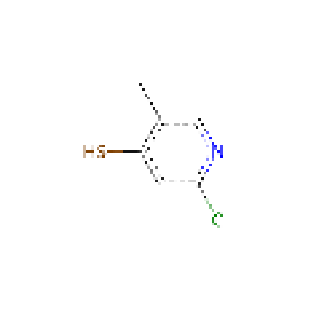 Cc1cnc(Cl)cc1S